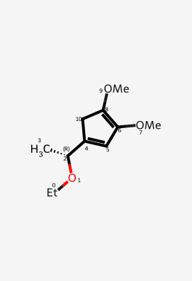 CCO[C@H](C)C1=CC(OC)=C(OC)C1